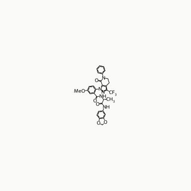 COc1ccc(-n2nc(C(F)(F)F)c3c2C(=O)N(c2ccccc2)CC3)c(C(=O)N[C@@H](C)C(=O)Nc2ccc3c(c2)OCO3)c1